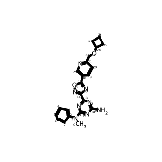 CN(c1ccccc1)c1nc(N)nc(-c2noc(-c3ccc(COC4CCC4)nc3)n2)n1